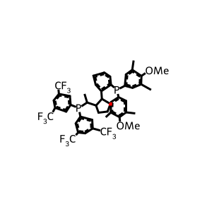 COc1c(C)cc(P(c2cc(C)c(OC)c(C)c2)c2ccccc2C2CCCC2C(C)P(c2cc(C(F)(F)F)cc(C(F)(F)F)c2)c2cc(C(F)(F)F)cc(C(F)(F)F)c2)cc1C